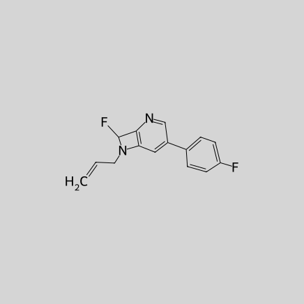 C=CCN1c2cc(-c3ccc(F)cc3)cnc2C1F